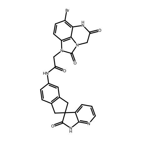 O=C(Cn1c(=O)n2c3c(c(Br)ccc31)NC(=O)C2)Nc1ccc2c(c1)CC1(C2)C(=O)Nc2ncccc21